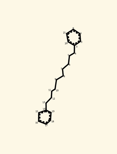 c1ccc(CCCCCCCCCCc2ccccc2)cc1